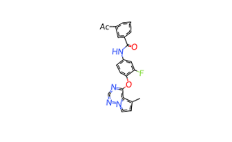 CC(=O)c1cccc(C(=O)Nc2ccc(Oc3ncnn4ccc(C)c34)c(F)c2)c1